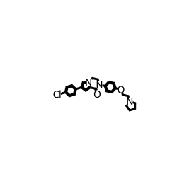 O=C1c2cc(-c3ccc(Cl)cc3)cn2CCN1c1ccc(OCCN2CCCC2)cc1